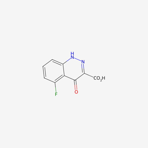 O=C(O)c1n[nH]c2cccc(F)c2c1=O